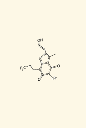 Cc1c(C=NO)sc2c1c(=O)n(C(C)C)c(=O)n2CCC(F)(F)F